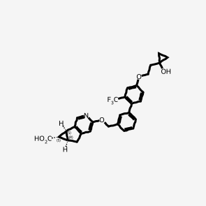 O=C(O)[C@H]1[C@@H]2Cc3cc(OCc4cccc(-c5ccc(OCCC6(O)CC6)cc5C(F)(F)F)c4)ncc3[C@@H]21